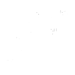 CC(NC(=N)N)C(C)SCO